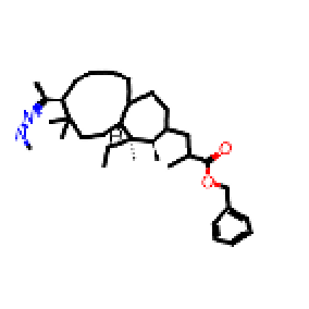 CC[C@]1(C)[C@H](C)C(CC(C)C(=O)OCc2ccccc2)CCC2CCCC[C@H](C(C)=[N+]=NC)C(C)(C)CC[C@H]21